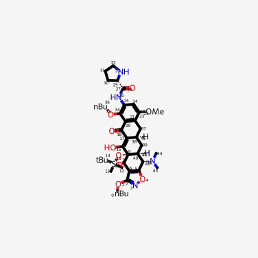 CCCCOc1noc2c1C(=O)[C@@]1(O[Si](C)(C)C(C)(C)C)C(O)=C3C(=O)c4c(c(OC)cc(NC(=O)[C@@H]5CCCN5)c4OCCCC)C[C@H]3C[C@H]1[C@@H]2N(C)C